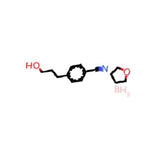 B.C1CCOC1.N#Cc1ccc(CCCO)cc1